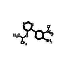 CC(C)Oc1cncnc1-c1ccc(N)c([N+](=O)[O-])c1